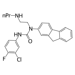 CCCNCCN(C(=O)Nc1ccc(F)c(Cl)c1)c1ccc2c(c1)Cc1ccccc1-2